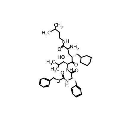 CC(C)CCNC(=O)C(N)[C@@H](O)[C@H](CC1CCCCC1)C(=O)[C@H](CC(C)C)NC(=O)[C@H](Cc1ccccc1)NC(=O)OCc1ccccc1